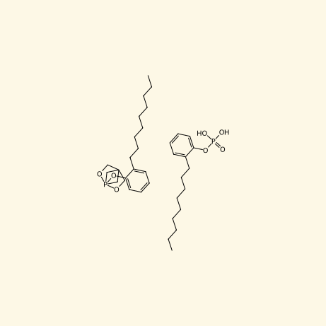 CCCCCCCCCc1ccccc1OP(=O)(O)O.CCCCCCCCCc1ccccc1OP123CC(CO1)(CO2)C3